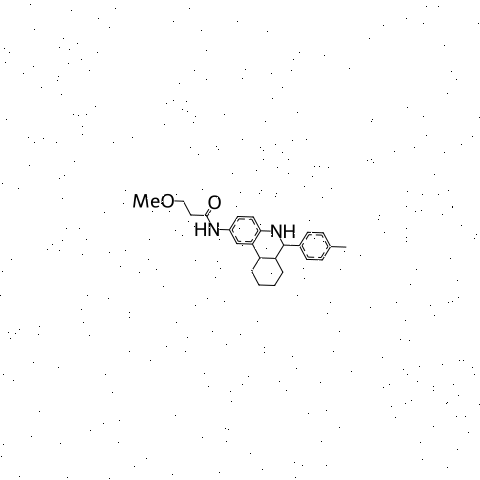 COCCC(=O)Nc1ccc2c(c1)C1CCCCC1C(c1ccc(C)cc1)N2